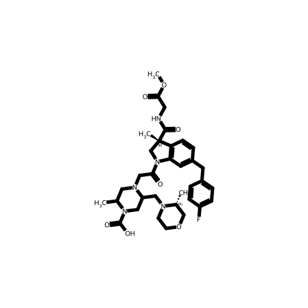 COC(=O)CNC(=O)[C@@]1(C)CN(C(=O)CN2CC(C)N(C(=O)O)CC2CN2CCOC[C@H]2C)c2cc(Cc3ccc(F)cc3)ccc21